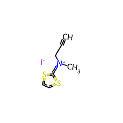 C#CC[N+](C)=c1sccs1.[I-]